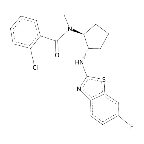 CN(C(=O)c1ccccc1Cl)[C@H]1CCC[C@@H]1Nc1nc2ccc(F)cc2s1